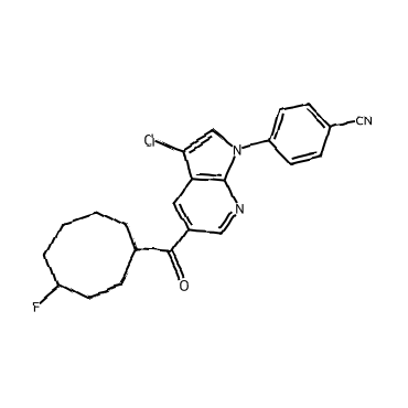 N#Cc1ccc(-n2cc(Cl)c3cc(C(=O)C4CCCCC(F)CC4)cnc32)cc1